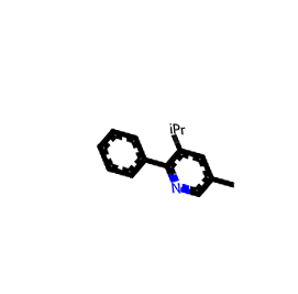 Cc1cnc(-c2ccccc2)c(C(C)C)c1